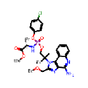 CCOCc1nc2c(N)nc3ccccc3c2n1C(C)(COP(=O)(N[C@H](C(=O)OC(C)(C)C)C(C)C)Oc1ccc(Cl)cc1)C(C)C